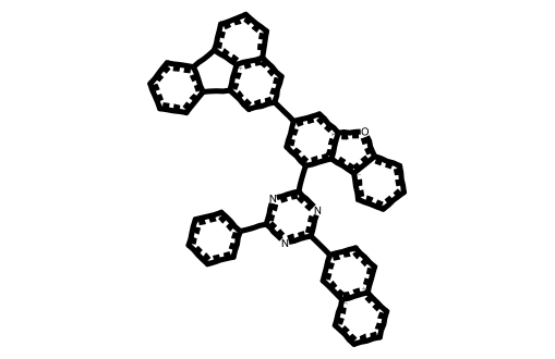 c1ccc(-c2nc(-c3ccc4ccccc4c3)nc(-c3cc(-c4cc5c6c(cccc6c4)-c4ccccc4-5)cc4oc5ccccc5c34)n2)cc1